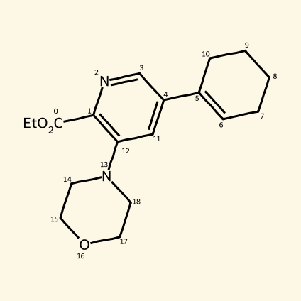 CCOC(=O)c1ncc(C2=CCCCC2)cc1N1CCOCC1